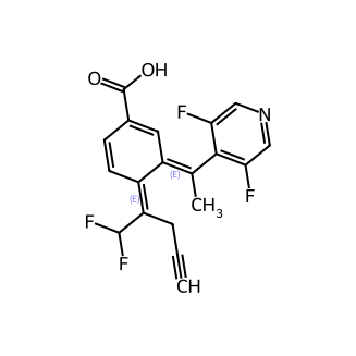 C#CC/C(=c1/ccc(C(=O)O)c/c1=C(/C)c1c(F)cncc1F)C(F)F